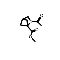 COC(=O)C12CC(CN1C(C)=O)C2